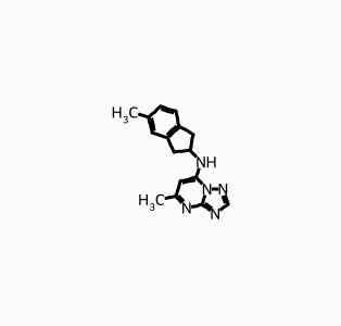 Cc1ccc2c(c1)CC(Nc1cc(C)nc3ncnn13)C2